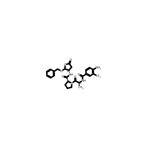 C[C@H](NC(=O)c1ccc(N)c(C(F)(F)F)c1)C(=O)N1CCC[C@H]1C(=O)N[C@H]1CC(=O)OC1OCc1ccccc1